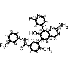 Cc1ccc(C(=O)Nc2cccc(C(F)(F)F)c2)cc1-c1cc2cnc(N)nc2c(-c2ccnc(F)c2)c1O